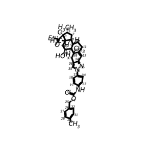 CCC(=O)[C@@]1(C)[C@H](C)C[C@H]2[C@@H]3CCC4=Cc5nn(-c6ccc(NC(=O)OCc7ccc(C)cc7)cc6)cc5C[C@]4(C)[C@H]3[C@@H](O)C[C@@]21C